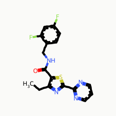 CCc1nc(-c2ncccn2)sc1C(=O)NCc1ccc(F)cc1F